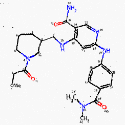 COCC(=O)N1CCCC(CNc2cc(Nc3ccc(C(=O)N(C)C)cc3)ncc2C(N)=O)C1